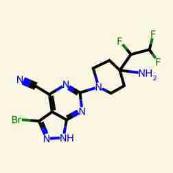 N#Cc1nc(N2CCC(N)(C(F)C(F)F)CC2)nc2[nH]nc(Br)c12